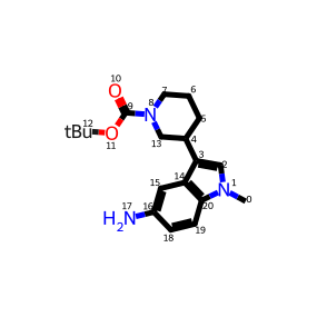 Cn1cc(C2CCCN(C(=O)OC(C)(C)C)C2)c2cc(N)ccc21